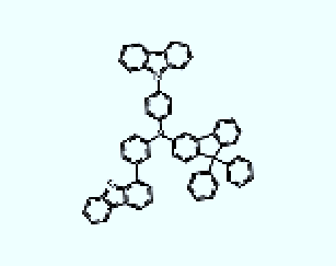 c1ccc(C2(c3ccccc3)c3ccccc3-c3cc(N(c4ccc(-n5c6ccccc6c6ccccc65)cc4)c4cccc(-c5cccc6c5sc5ccccc56)c4)ccc32)cc1